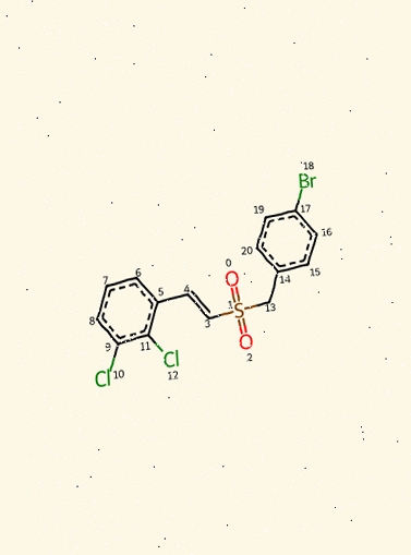 O=S(=O)(C=Cc1cccc(Cl)c1Cl)Cc1ccc(Br)cc1